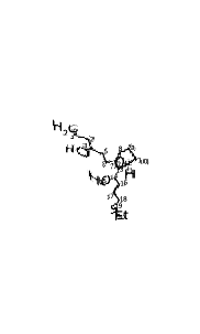 C=CCC(O)CC[C@H]1C2CC[C@H](O2)[C@@H]1[C@@H](O)C=CCSCC